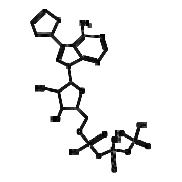 Nc1ncnc2c1c(-c1cccs1)cn2C1OC(COP(=O)(O)OP(=O)(O)OP(=O)(O)O)C(O)C1O